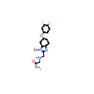 CCn1c(CNCC(N)=O)nc2ccc(Oc3ccc(F)c(F)c3)cc21